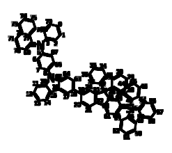 c1ccc(N(c2ccc(-n3c4ccccc4c4cc(-c5ccc6c(c5)C(c5ccccc5)(c5ccccc5)c5cc([Si](c7ccccc7)(c7ccccc7)c7ccccc7)ccc5-6)ccc43)cc2)c2cccc3ccccc23)cc1